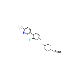 CCCCCC1CCC(CCc2ccc(-c3ccc(C(F)(F)F)nc3)c(F)c2)CC1